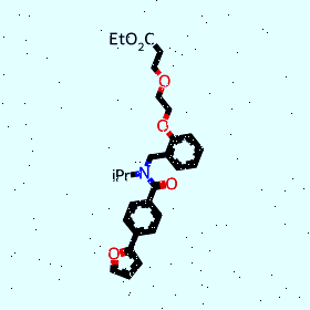 CCOC(=O)CCOCCOc1ccccc1CN(C(=O)c1ccc(-c2ccco2)cc1)C(C)C